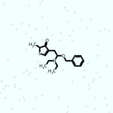 CCN(CC)C(CC1=CSC(C)C1=O)OCc1ccccc1